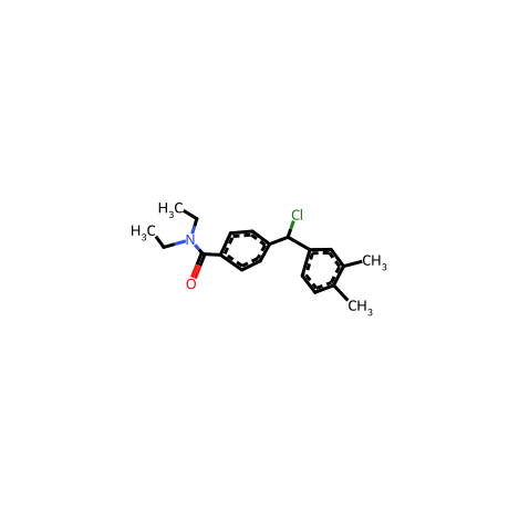 CCN(CC)C(=O)c1ccc(C(Cl)c2ccc(C)c(C)c2)cc1